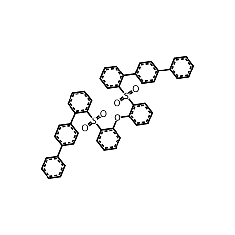 O=S(=O)(c1ccccc1Oc1ccccc1S(=O)(=O)c1ccccc1-c1ccc(-c2ccccc2)cc1)c1ccccc1-c1ccc(-c2ccccc2)cc1